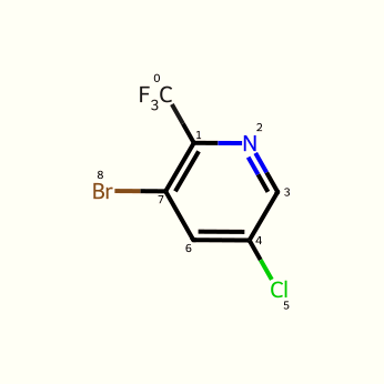 FC(F)(F)c1ncc(Cl)cc1Br